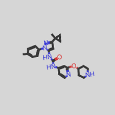 Cc1ccc(-n2nc(C3(C)CC3)cc2NC(=O)Nc2ccnc(OC3CCNCC3)c2)cc1